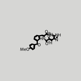 [2H]C(c1nc[nH]c1C(C)(C)C)=c1[nH]c(=O)c(=Cc2cccc(C(=O)c3ccc(OC)cc3)c2)[nH]c1=O